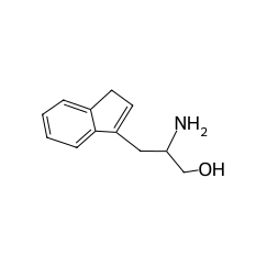 NC(CO)CC1=CCc2ccccc21